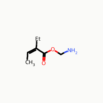 CC=C(CC)C(=O)OCN